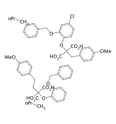 CCCC.CCCC.COc1ccc(CC(Oc2ccc(Cl)cc2OCc2ccccc2)(C(=O)O)C(=O)O)cc1.COc1ccc(CCC(Oc2ccccc2OCc2ccccc2)(C(=O)O)C(=O)O)cc1